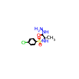 C[C@H](NS(=O)(=O)c1ccc(Cl)cc1)C(=O)NN